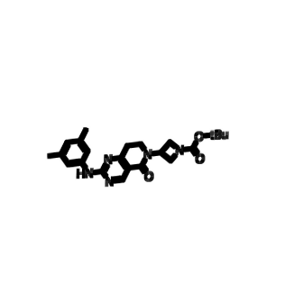 Cc1cc(C)cc(Nc2ncc3c(n2)CCN(C2CN(C(=O)OC(C)(C)C)C2)C3=O)c1